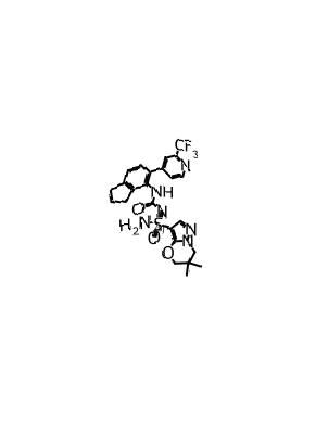 CC1(C)COc2c([S@@](N)(=O)=NC(=O)Nc3c(-c4ccnc(C(F)(F)F)c4)ccc4c3CCC4)cnn2C1